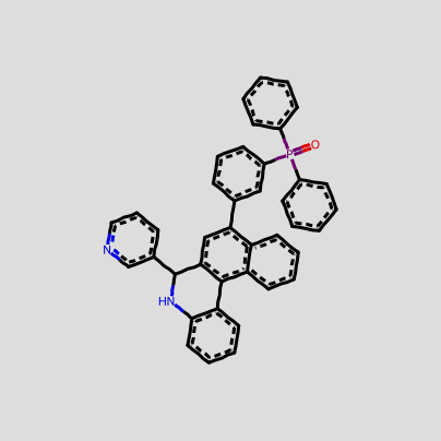 O=P(c1ccccc1)(c1ccccc1)c1cccc(-c2cc3c(c4ccccc24)-c2ccccc2NC3c2cccnc2)c1